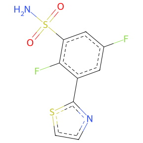 NS(=O)(=O)c1cc(F)cc(-c2nccs2)c1F